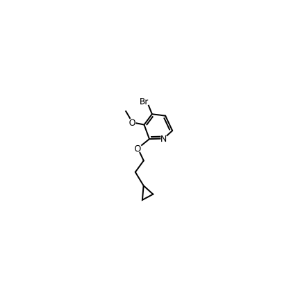 COc1c(Br)ccnc1OCCC1CC1